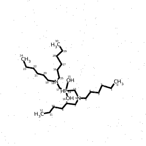 CCCCCCN(CCCCCC)C[PH](O)(O)CN(CCCCCC)CCCCCC